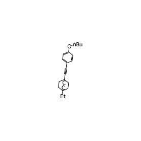 CCCCOc1ccc(C#CC23CCC(CC)(CC2)CC3)cc1